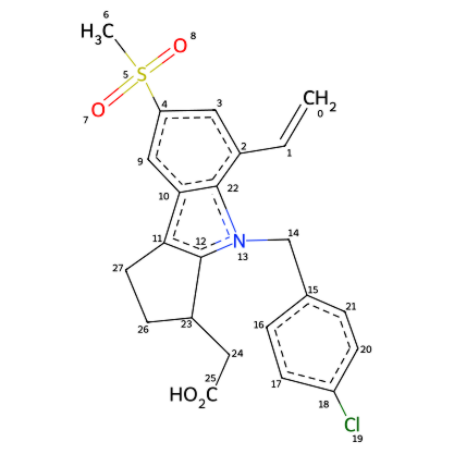 C=Cc1cc(S(C)(=O)=O)cc2c3c(n(Cc4ccc(Cl)cc4)c12)C(CC(=O)O)CC3